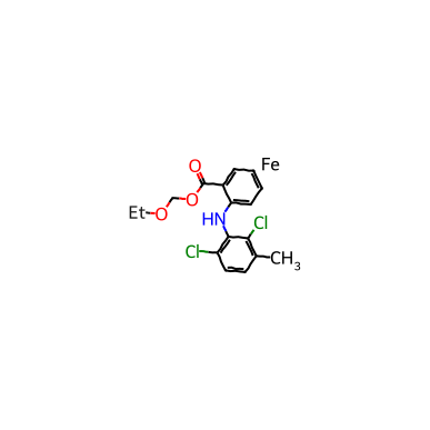 CCOCOC(=O)c1ccccc1Nc1c(Cl)ccc(C)c1Cl.[Fe]